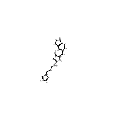 O=C1N=C(NCCCn2ccnc2)SC1=Cc1ccc2c(c1)CCO2